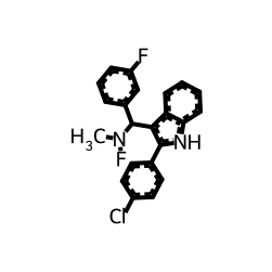 CN(F)C(c1cccc(F)c1)c1c(-c2ccc(Cl)cc2)[nH]c2ccccc12